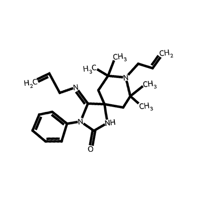 C=CCN=C1N(c2ccccc2)C(=O)NC12CC(C)(C)N(CC=C)C(C)(C)C2